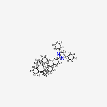 CC1C=C(c2nc(-c3ccccc3)cc(C3C=CC=CC3)n2)C=CC1c1cccc2c1-c1ccccc1C21c2ccccc2-c2ccccc2C2C=CC=CC21